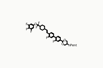 CCCCCC1COC(c2ccc(-c3ccc(/C=C/C4CCC(C(F)(F)Oc5cc(F)c(F)c(F)c5)CC4)c(F)c3)c(F)c2)OC1